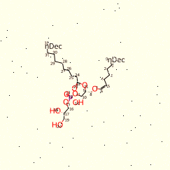 CCCCCCCCCCCCCC/C=C\OC[C@H](COP(=O)(O)OC[C@@H](O)CO)OC(=O)CCCCCCCCCCCCCCCCCC